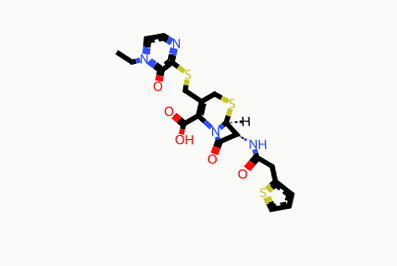 CCn1ccnc(SCC2=C(C(=O)O)N3C(=O)[C@@H](NC(=O)Cc4cccs4)[C@@H]3SC2)c1=O